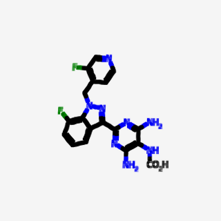 Nc1nc(-c2nn(Cc3ccncc3F)c3c(F)cccc23)nc(N)c1NC(=O)O